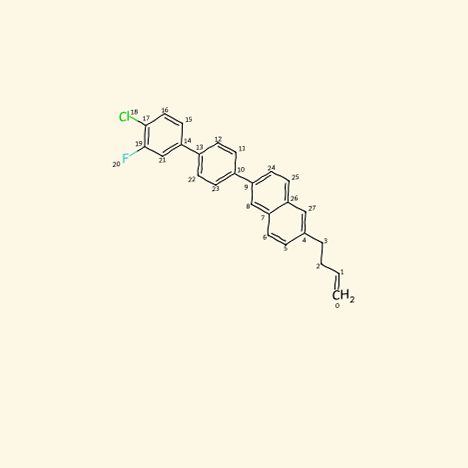 C=CCCc1ccc2cc(-c3ccc(-c4ccc(Cl)c(F)c4)cc3)ccc2c1